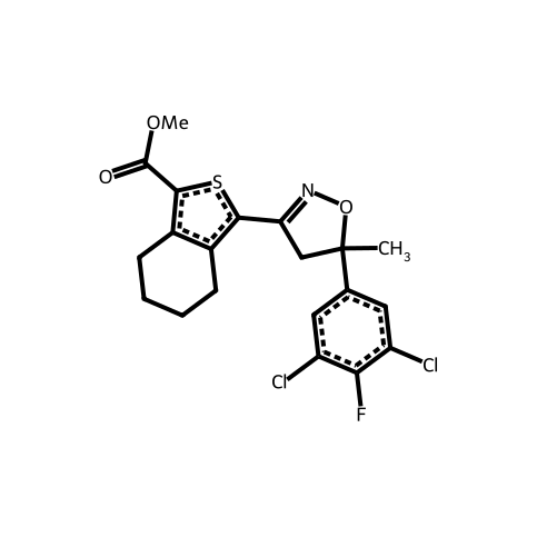 COC(=O)c1sc(C2=NOC(C)(c3cc(Cl)c(F)c(Cl)c3)C2)c2c1CCCC2